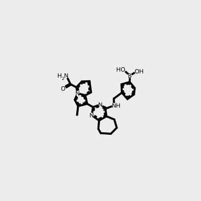 Cc1cn2c(C(N)=O)cccc2c1-c1nc2c(c(NCc3cccc(B(O)O)c3)n1)CCCCC2